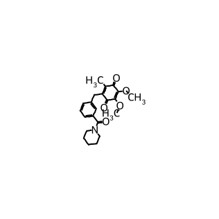 COC1=C(OC)C(=O)C(Cc2cccc(C(=O)N3CCCCC3)c2)=C(C)C1=O